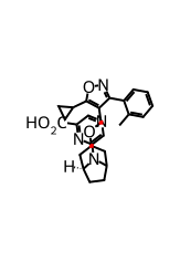 Cc1ccccc1-c1noc(C2CC2)c1COC1CC2CC[C@@H](C1)N2c1cncc(C(=O)O)n1